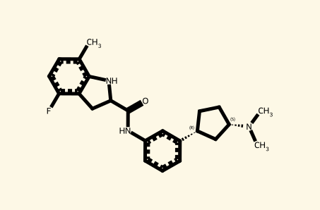 Cc1ccc(F)c2c1NC(C(=O)Nc1cccc([C@@H]3CC[C@H](N(C)C)C3)c1)C2